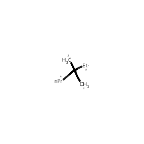 C[CH]C(C)(C)CCC